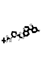 C[C@@H](Oc1ccc2c(-c3ccc(F)cc3Cl)ccnc2c1)C(=O)N1CCC[C@H](NC(=O)OC(C)(C)C)C1